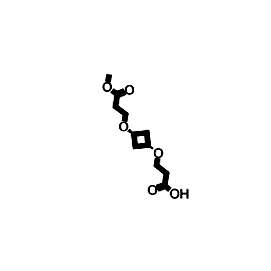 COC(=O)CCO[C@H]1C[C@H](OCCC(=O)O)C1